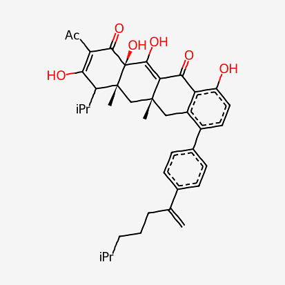 C=C(CCCC(C)C)c1ccc(-c2ccc(O)c3c2C[C@]2(C)C[C@]4(C)C(C(C)C)C(O)=C(C(C)=O)C(=O)[C@]4(O)C(O)=C2C3=O)cc1